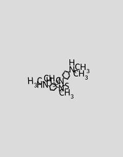 CC(C)Nc1ccc(N(C)C(=S)N(C)c2ccc(NC(C)C)cc2)cc1